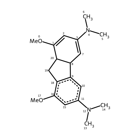 COC1=CC(N(C)C)=CC2c3cc(N(C)C)cc(OC)c3CC12